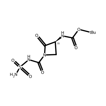 CC(C)(C)OC(=O)N[C@H]1CN(C(=O)NS(N)(=O)=O)C1=O